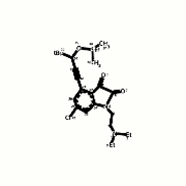 CCN(CC)CCN1C(=O)C(=O)c2c(C#CC(O[SiH](C)C)C(C)(C)C)cc(Cl)cc21